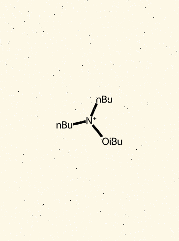 CCCC[N+](CCCC)OCC(C)C